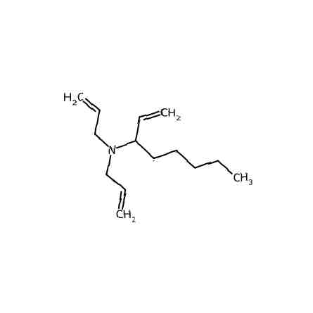 C=CCN(CC=C)C([CH]CCCC)C=C